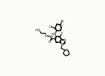 O=C(NOCCO)c1cc2c(ncn2CC2CCCCC2)c(F)c1Nc1ccc(Br)cc1Cl